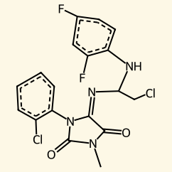 CN1C(=O)C(=NC(CCl)Nc2ccc(F)cc2F)N(c2ccccc2Cl)C1=O